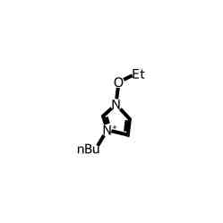 CCCC[n+]1ccn(OCC)c1